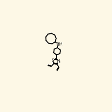 C=Cc1nc(C2CCC(BC3CCCCCCCC3)CC2)sc1C=C